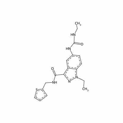 CCNC(=O)Nc1ccc2c(c1)c(C(=O)NCc1cccs1)nn2CC